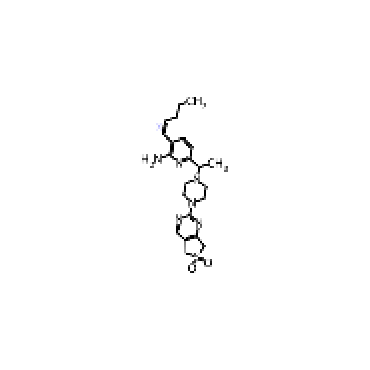 CCC/C=C\c1ccc(C(C)N2CCN(c3ncc4c(n3)CS(=O)(=O)C4)CC2)nc1N